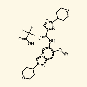 CC(C)Oc1cc2nc(C3CCOCC3)cn2cc1NC(=O)c1coc(C2CCOCC2)n1.O=C(O)C(F)(F)F